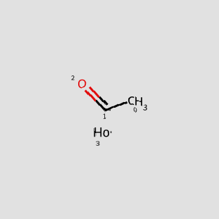 C[C]=O.[Ho]